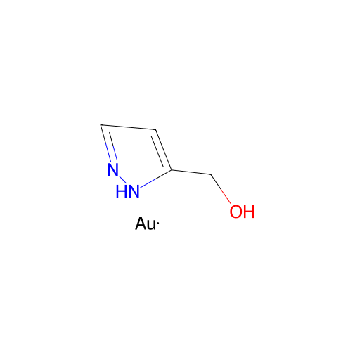 OCc1ccn[nH]1.[Au]